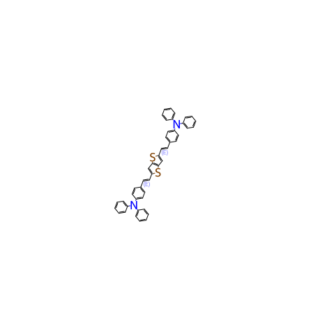 C(=C\c1cc2sc(/C=C/c3ccc(N(c4ccccc4)c4ccccc4)cc3)cc2s1)/c1ccc(N(c2ccccc2)c2ccccc2)cc1